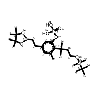 Cc1cc(CCB2OC(C)(C)C(C)(C)O2)cc(OP(=O)(O)O)c1C(C)(C)CCO[Si](C)(C)C(C)(C)C